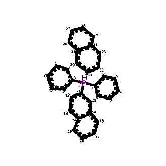 c1ccc([PH](c2ccccc2)(c2ccc3ccccc3c2)c2ccc3ccccc3c2)cc1